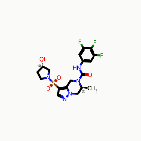 C[C@H]1Cn2ncc(S(=O)(=O)N3CC[C@H](O)C3)c2CN1C(=O)Nc1cc(F)c(F)c(F)c1